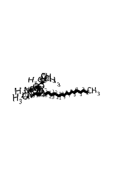 CCCCCCCCCCCCCCCCOCC(CN(CC)C(N)=O)OP(=O)([O-])OCC[N+](C)(C)C